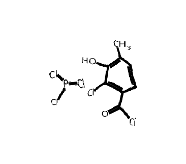 Cc1ccc(C(=O)Cl)c(Cl)c1O.ClP(Cl)Cl